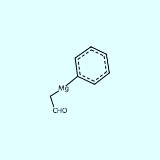 O=C[CH2][Mg][c]1ccccc1